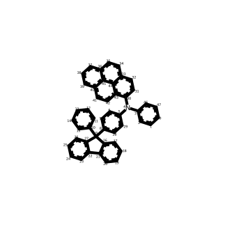 c1ccc(N(c2ccc(C3(c4ccccc4)c4ccccc4-c4ccccc43)cc2)c2ccc3ccc4cccc5ccc2c3c45)cc1